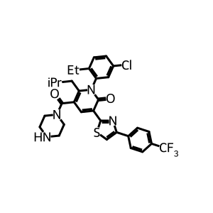 CCc1ccc(Cl)cc1-n1c(CC(C)C)c(C(=O)N2CCNCC2)cc(-c2nc(-c3ccc(C(F)(F)F)cc3)cs2)c1=O